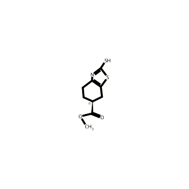 COC(=O)[C@H]1CCc2nc(S)sc2C1